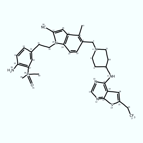 Cc1c(CN2CCC(Nc3ncnc4sc(CC(F)(F)F)cc34)CC2)ccc2c1cc(C#N)n2CCc1ccc(N)c(P(C)(C)=O)c1